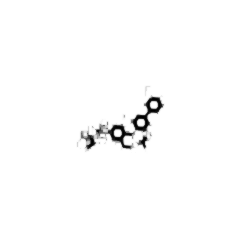 COc1cc(-c2cccc(F)c2)ccc1[C@H]1c2ccc(S(=O)(=O)Nc3ccon3)cc2CCN1C(C)=O